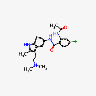 CC(=O)Nc1cc(F)ccc1C(=O)Nc1ccc2[nH]c(C)c(CCN(C)C)c2c1